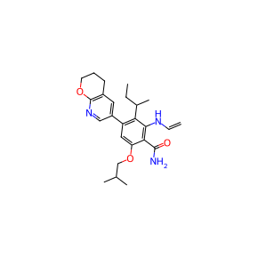 C=CNc1c(C(N)=O)c(OCC(C)C)cc(-c2cnc3c(c2)CCCO3)c1C(C)CC